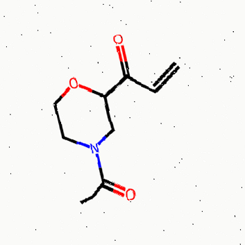 C=CC(=O)C1CN(C(C)=O)CCO1